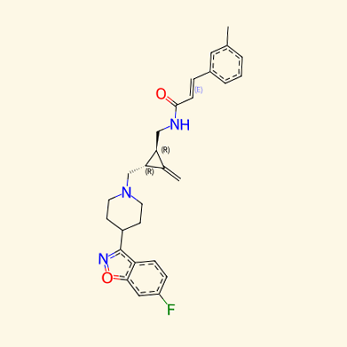 C=C1[C@H](CNC(=O)/C=C/c2cccc(C)c2)[C@H]1CN1CCC(c2noc3cc(F)ccc23)CC1